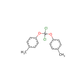 Cc1ccc(O[Si](Cl)(Cl)Oc2ccc(C)cc2)cc1